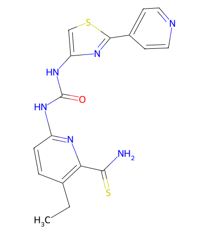 CCc1ccc(NC(=O)Nc2csc(-c3ccncc3)n2)nc1C(N)=S